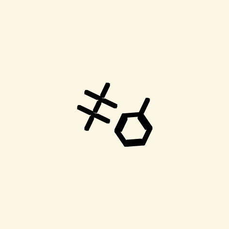 C[Si](C)(C)[Si](C)(C)C.Cc1ccccc1